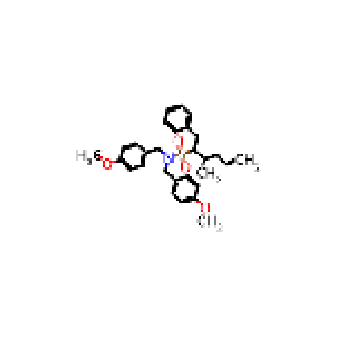 C=CCC(C)C(Cc1ccccc1)S(=O)(=O)N(Cc1ccc(OC)cc1)Cc1ccc(OC)cc1